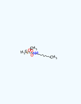 CCCCCCCCCCCCNC(=O)C(CCSC)OC(C)=O